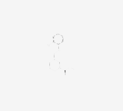 CC(C)(C)OC(=O)N1CCCC(CNc2ccccc2[N+](=O)[O-])C1